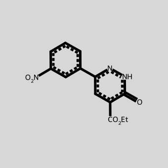 CCOC(=O)c1cc(-c2cccc([N+](=O)[O-])c2)n[nH]c1=O